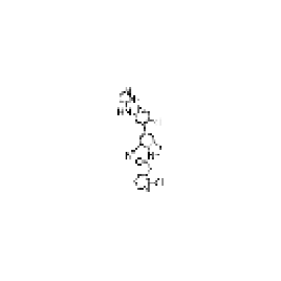 Cn1nccc1Nc1cc(-c2cc(C#N)c3c(c2)CCN3C(=O)Cc2cccnc2Cl)c(Cl)cn1